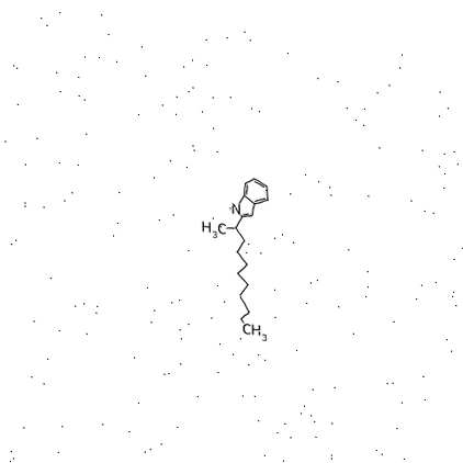 CCCCCCCCCC(C)C1=Cc2ccccc2[N]1